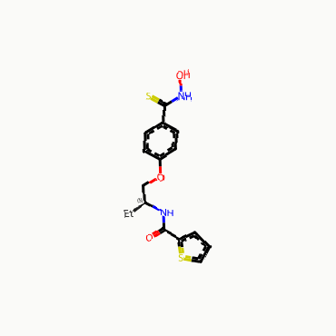 CC[C@@H](COc1ccc(C(=S)NO)cc1)NC(=O)c1cccs1